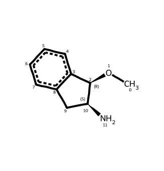 CO[C@@H]1c2ccccc2C[C@@H]1N